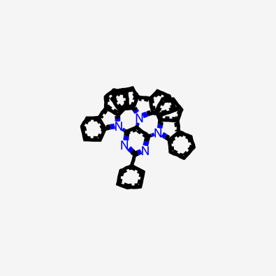 c1ccc(-c2nc(-n3c4ccccc4c4ccccc43)c(-n3c4ccccc4c4ccccc43)c(-n3c4ccccc4c4ccccc43)n2)cc1